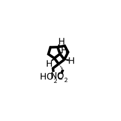 O=C(O)C[C@]1(C[N+](=O)[O-])[C@@H]2CC[C@@H]3CC[C@H]1[C@@H]32